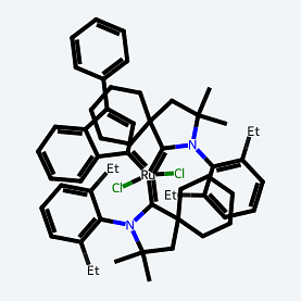 CCc1cccc(CC)c1N1[C](=[Ru]([Cl])([Cl])(=[C]2C=C(c3ccccc3)c3ccccc32)=[C]2N(c3c(CC)cccc3CC)C(C)(C)CC23CCCCC3)C2(CCCCC2)CC1(C)C